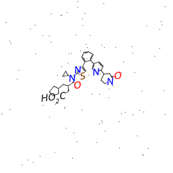 CN1CCC(c2ccc(-c3ccccc3-c3csc(N(C(=O)[C@@H](CC(=O)O)CC4CCCC4)C4CC4)n3)cn2)CC1=O